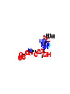 C#C[C@]1(COC(=O)CCCN(C)C(=O)OCc2oc(=O)oc2C)O[C@@H](n2cnc3c(NC(=O)OC(C)(C)C)nc(F)nc32)C[C@@H]1O